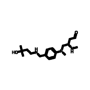 CNC(CC=O)CN(C)c1ccc(CNCCC(C)(C)O)cc1